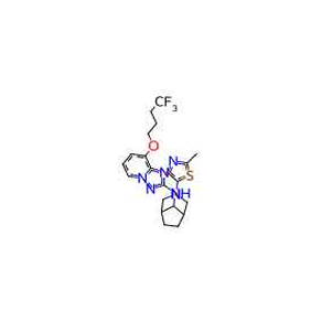 Cc1ncc(N2CC3CCC(C2)C3Nc2nc3c(OCCCC(F)(F)F)cccn3n2)s1